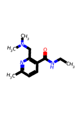 CCNC(=O)c1ccc(C)nc1CN(C)C